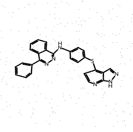 c1ccc(-c2nnc(Nc3ccc(Sc4ccnc5[nH]ncc45)cc3)c3ccccc23)cc1